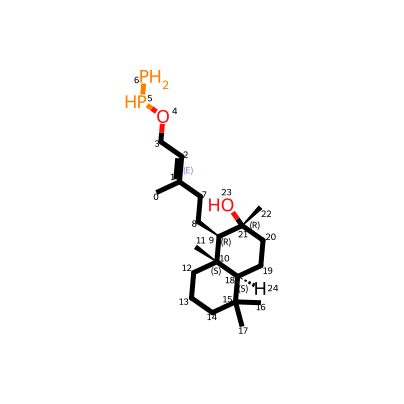 C/C(=C\COPP)CC[C@@H]1[C@@]2(C)CCCC(C)(C)[C@@H]2CC[C@@]1(C)O